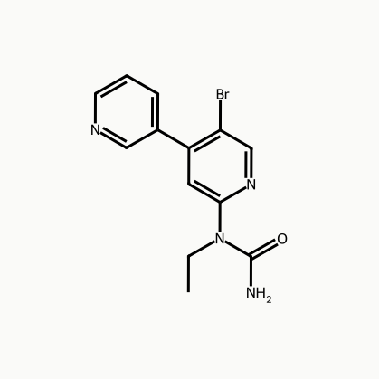 CCN(C(N)=O)c1cc(-c2cccnc2)c(Br)cn1